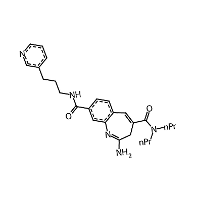 CCCN(CCC)C(=O)C1=Cc2ccc(C(=O)NCCCc3cccnc3)cc2N=C(N)C1